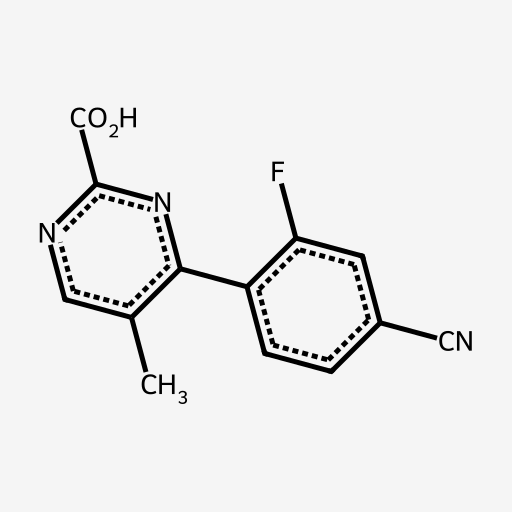 Cc1cnc(C(=O)O)nc1-c1ccc(C#N)cc1F